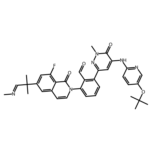 C/N=C/C(C)(C)c1cc(F)c2c(=O)n(-c3cccc(-c4cc(Nc5ccc(OC(C)(C)C)cn5)c(=O)n(C)n4)c3C=O)ccc2c1